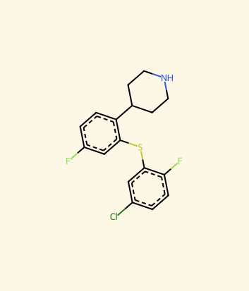 Fc1ccc(C2CCNCC2)c(Sc2cc(Cl)ccc2F)c1